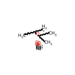 CCCCCCCCC(CCCCCC)COCC(CCCCCC)CCCCCCCC.O=P([O-])([O-])[O-].[Na+].[Na+].[Na+]